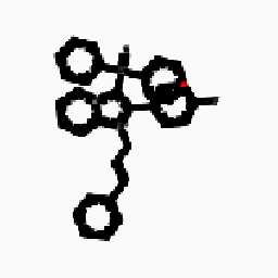 Fc1ccc(-c2c(P(=S)(c3ccccc3)c3ccccc3)n3ccccc3[n+]2C/C=C/c2ccccc2)cc1